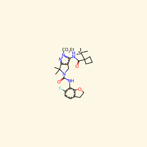 CCOC(=O)n1nc2c(c1NC(=O)C1([Si](C)(C)C)CCC1)CN(C(=O)Nc1c(F)ccc3c1OCC3)C2(C)C